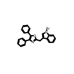 CC(=O)n1cc(Cc2nc(-c3ccccc3)c(-c3ccccc3)o2)c2ccccc21